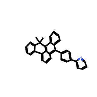 CC1(C)c2ccccc2-c2cccc3c(-c4ccc(-c5ccccn5)cc4)c4ccccc4c1c23